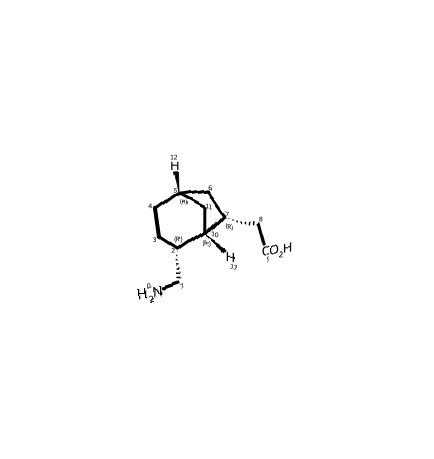 NC[C@@H]1CC[C@@H]2C[C@H](CC(=O)O)[C@H]1C2